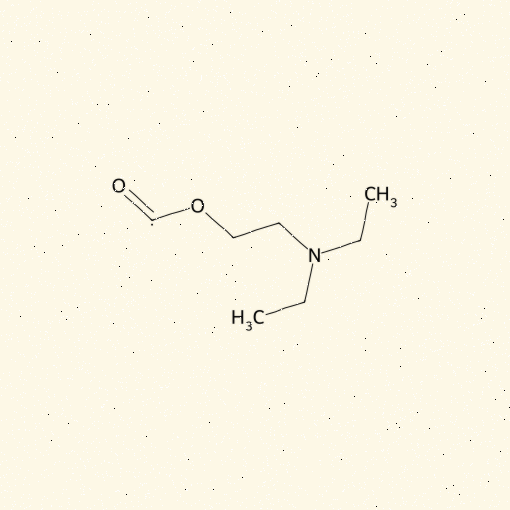 CCN(CC)CCO[C]=O